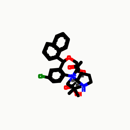 CC(=O)[C@@H]1CCN[C@@]1(C(=O)O)[N@@+]1(CC(C)(C)C)C(=O)COC(c2cccc3ccccc23)c2cc(Cl)ccc21